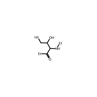 CCNC(C(=O)CC)C(O)CS